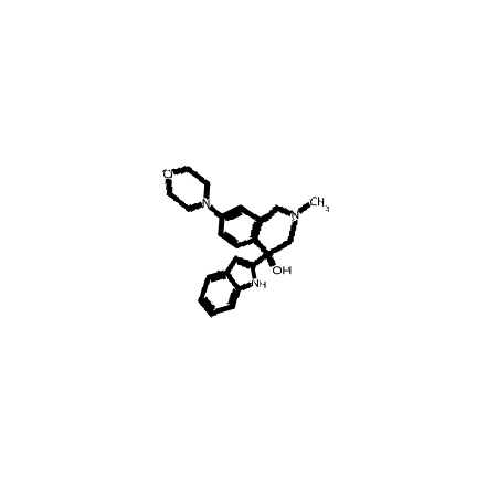 CN1Cc2cc(N3CCOCC3)ccc2C(O)(c2cc3ccccc3[nH]2)C1